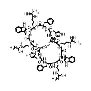 N=C(N)NCCC[C@@H]1NC(=O)[C@H](Cc2c[nH]c3ccccc23)NC(=O)[C@H](CCCNC(=N)N)NC(=O)[C@@H](Cc2ccccc2)NC(=O)[C@H](Cc2c[nH]cn2)NC(=O)[C@H]2NC(=O)[C@H](CCCNC(=N)N)NC(=O)[C@H](Cc3c[nH]c4ccccc34)NC(=O)[C@H](CCCNC(=N)N)NC(=O)[C@@H](Cc3ccccc3)NC(=O)[C@H](Cc3c[nH]cn3)NC(=O)C(CSS2)NC1=O